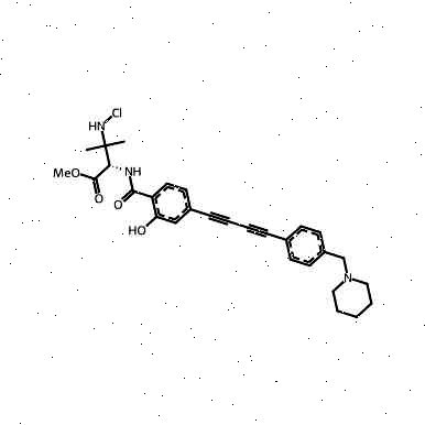 COC(=O)[C@@H](NC(=O)c1ccc(C#CC#Cc2ccc(CN3CCCCC3)cc2)cc1O)C(C)(C)NCl